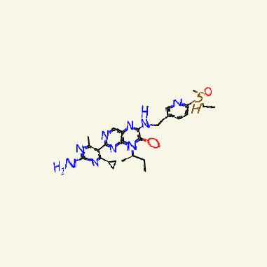 CC[C@@H](C)n1c(=O)c(NCc2ccc([SH](C)(=O)CC)nc2)nc2cnc(-c3c(C)nc(N)nc3C3CC3)nc21